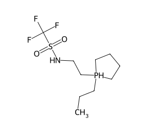 CCC[PH]1(CCNS(=O)(=O)C(F)(F)F)CCCC1